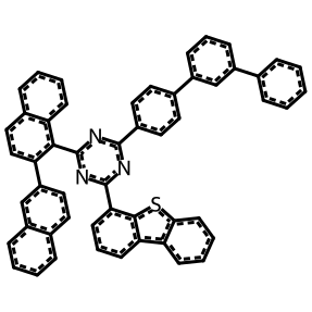 c1ccc(-c2cccc(-c3ccc(-c4nc(-c5c(-c6ccc7ccccc7c6)ccc6ccccc56)nc(-c5cccc6c5sc5ccccc56)n4)cc3)c2)cc1